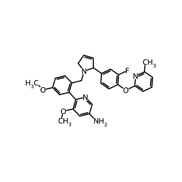 COc1ccc(CN2CC=CC2c2ccc(Oc3cccc(C)n3)c(F)c2)c(-c2ncc(N)cc2OC)c1